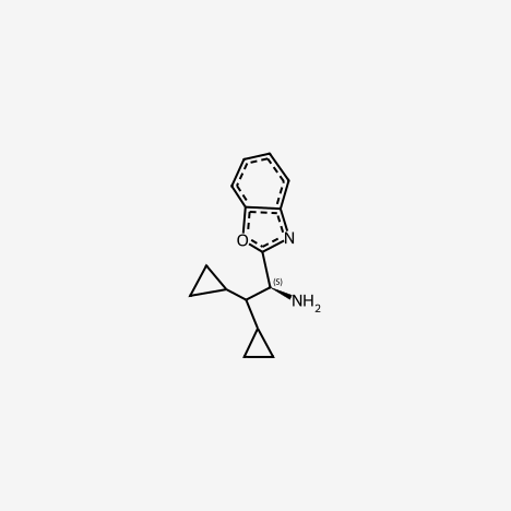 N[C@H](c1nc2ccccc2o1)C(C1CC1)C1CC1